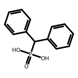 O=P(O)(O)[C](c1ccccc1)c1ccccc1